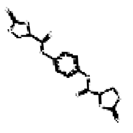 O=C1OCC(C(=O)Oc2ccc(OC(=O)C3COC(=O)O3)cc2)O1